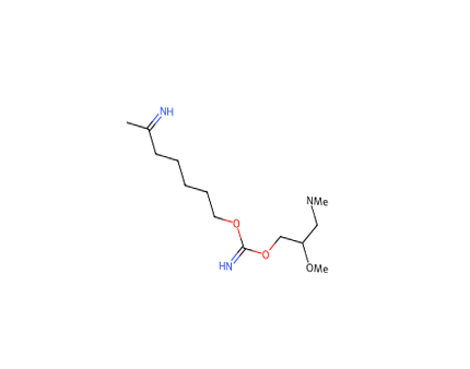 CNCC(COC(=N)OCCCCCC(C)=N)OC